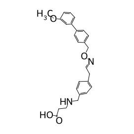 COc1cccc(-c2ccc(CON=CCc3ccc(CNCCC(=O)O)cc3)cc2)c1